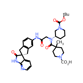 CC(C)(C)OC(=O)N1CCC[C@H](N(CC(=O)Nc2ccc3c(c2)C[C@@]2(C3)C(=O)Nc3ncccc32)C(=O)C2(C)CCN(C(=O)O)CC2)C1